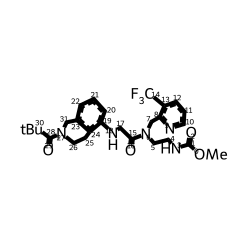 COC(=O)NCCN(Cc1ncccc1C(F)(F)F)C(=O)CNc1cccc2c1CCN(C(=O)C(C)(C)C)C2